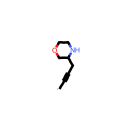 [CH2]C#CCC1COCCN1